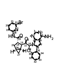 Nc1ncnc2c1cc1n2C(C(=O)C2[C@@H](C(=O)Nc3cccc(Br)n3)C[C@@H]3C[C@H]23)Oc2ccccc2-1